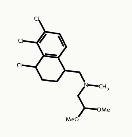 COC(CN(C)CC1CCC(Cl)c2c1ccc(Cl)c2Cl)OC